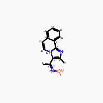 C/C(=N/O)c1c(C)nc2c3ccccc3ccn12